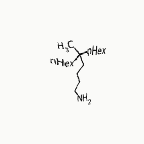 CCCCCCC(C)(CCCCN)CCCCCC